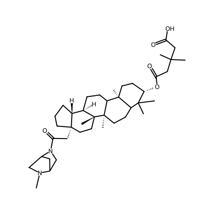 CN1CC2CC1CN2C(=O)C[C@]12CCC[C@@H]1[C@H]1CCC3[C@@]4(C)CC[C@H](OC(=O)CC(C)(C)CC(=O)O)C(C)(C)C4CC[C@@]3(C)[C@]1(C)CC2